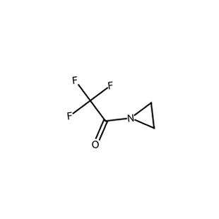 O=C(N1CC1)C(F)(F)F